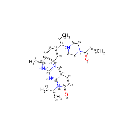 C=CC(=O)N1CCN(C(CC)c2ccc([C@H](C)Nc3ncc4ccc(=O)n(C(C)C)c4n3)cc2)CC1